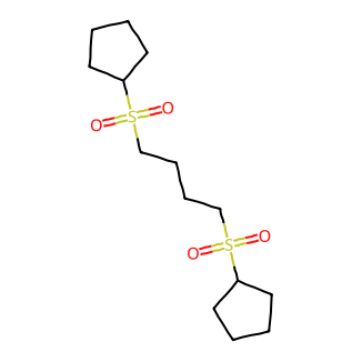 O=S(=O)(CCCCS(=O)(=O)C1CCCC1)C1CCCC1